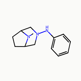 CN1C2CCC1CN(Nc1ccccc1)C2